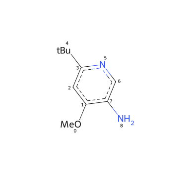 COc1cc(C(C)(C)C)ncc1N